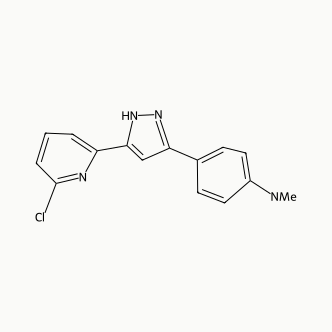 CNc1ccc(-c2cc(-c3cccc(Cl)n3)[nH]n2)cc1